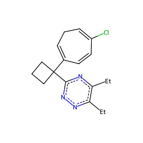 CCc1nnc(C2(C3=CCC=C(Cl)C=C3)CCC2)nc1CC